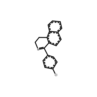 Clc1ccc(C2=NCCc3c2ccc2ccccc32)cc1